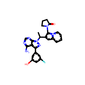 CC(c1cc2ccccn2c1N1CCCC1=O)n1nc(-c2cc(O)cc(F)c2)c2c(N)ncnc21